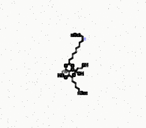 CCCCCCCC/C=C\CCCCCCCC(=O)O[C@@H](CO)C(OP(=O)(O)CCO)C(=O)CCCCCCCCCCCCCCC